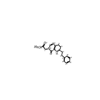 COC(=O)Cn1cnc2c(c1=O)NC(CCc1ccccc1)CC2